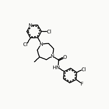 CC1CN(C(=O)Nc2ccc(F)c(Cl)c2)CCN(c2c(Cl)cncc2Cl)C1